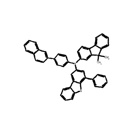 CC1(C)c2ccccc2-c2ccc(N(c3ccc(-c4ccc5ccccc5c4)cc3)c3cc(-c4ccccc4)c4sc5ccccc5c4c3)cc21